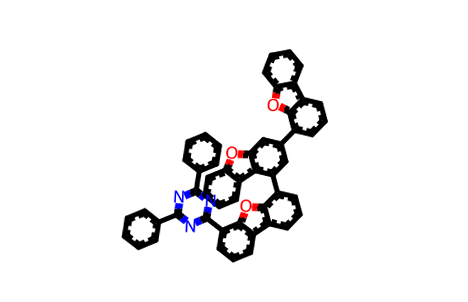 c1ccc(-c2nc(-c3ccccc3)nc(-c3cccc4c3oc3c(-c5cc(-c6cccc7c6oc6ccccc67)cc6oc7ccccc7c56)cccc34)n2)cc1